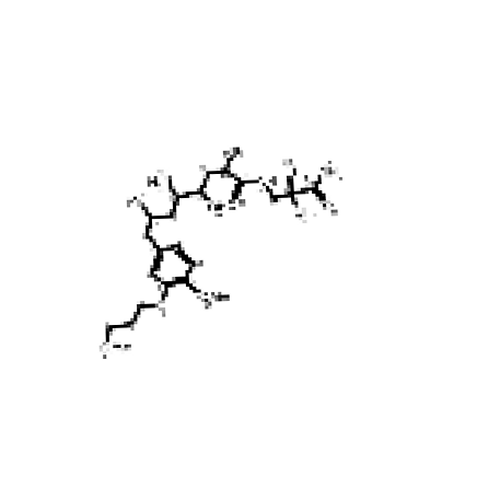 COCCCOc1cc(CC(CC(N)C(O)CC(C(=O)NCC(C)(C)C(N)=O)C(C)C)C(C)C)ccc1OC